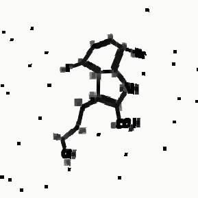 O=C(O)c1[nH]c2c(Br)ccc(F)c2c1CCCO